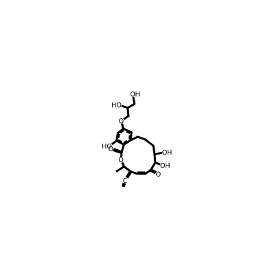 C=C=C1/C=C\C(=O)C(O)C(O)CCCc2cc(OCC(O)CO)cc(O)c2C(=O)OC1C